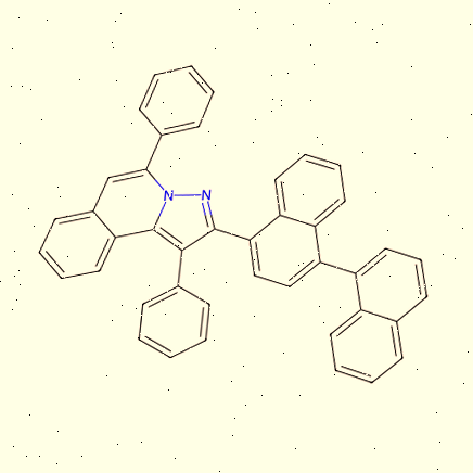 c1ccc(-c2c(-c3ccc(-c4cccc5ccccc45)c4ccccc34)nn3c(-c4ccccc4)cc4ccccc4c23)cc1